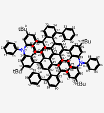 CC(C)(C)c1ccc2c(c1)N(c1ccccc1)c1cc(C(C)(C)C)cc3c1B2c1cc2c(-c4c(-c5ccccc5)cccc4-c4ccccc4)cc4c5c(cc6c(-c7c(-c8ccccc8)cccc7-c7ccccc7)cc-3c1c6c25)B1c2ccc(C(C)(C)C)cc2N(c2ccccc2)c2cc(C(C)(C)C)cc-4c21